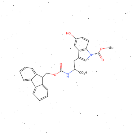 CC(C)(C)OC(=O)n1cc(CC(NC(=O)OCC2c3ccccc3-c3ccccc32)C(=O)O)c2cc(O)ccc21